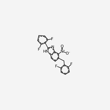 O=[N+]([O-])c1c(Cc2c(F)cccc2F)ccc2[nH]c(-c3c(F)cccc3F)nc12